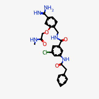 CNC(=O)COc1cc(C(=N)N)ccc1CNC(=O)c1cc(Cl)cc(NC(=O)Cc2ccccc2)c1